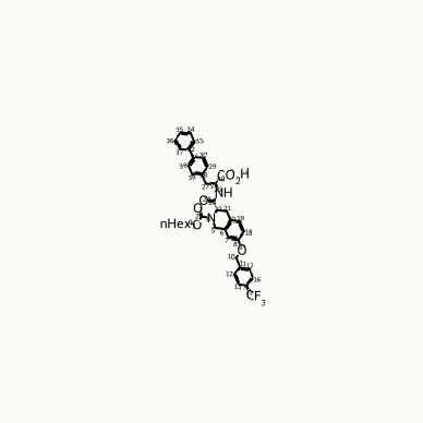 CCCCCCOC(=O)N1Cc2cc(OCc3ccc(C(F)(F)F)cc3)ccc2C[C@H]1C(=O)N[C@@H](Cc1ccc(-c2ccccc2)cc1)C(=O)O